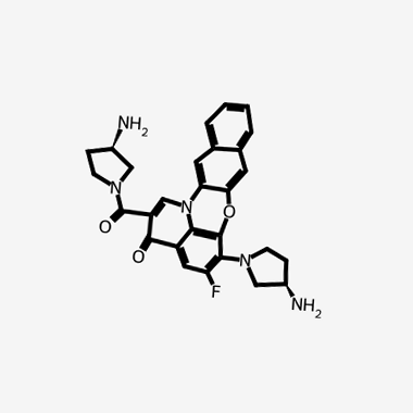 N[C@@H]1CCN(C(=O)c2cn3c4c(c(N5CC[C@@H](N)C5)c(F)cc4c2=O)Oc2cc4ccccc4cc2-3)C1